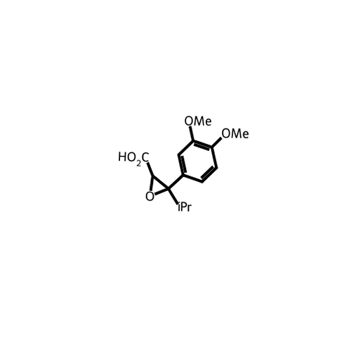 COc1ccc(C2(C(C)C)OC2C(=O)O)cc1OC